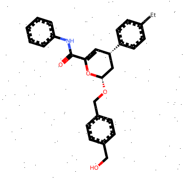 CCc1ccc([C@H]2C=C(C(=O)Nc3ccccc3)O[C@@H](OCc3ccc(CO)cc3)C2)cc1